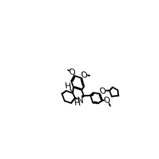 COc1cc2c(cc1OC)[C@H]1CCCC[C@H]1N=C2c1ccc(OC)c(OC2CCCC2)c1